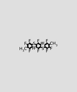 Cc1c(F)c(F)c(Sc2c(F)c(F)c(Sc3c(F)c(F)c(C)c(F)c3F)c(F)c2F)c(F)c1F